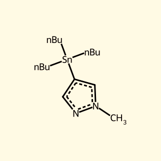 CCC[CH2][Sn]([CH2]CCC)([CH2]CCC)[c]1cnn(C)c1